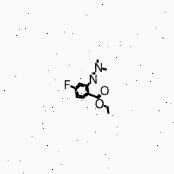 CCOC(=O)c1ccc(F)cc1N=CN(C)C